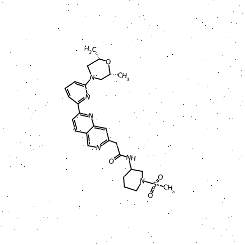 C[C@@H]1CN(c2cccc(-c3ccc4cnc(CC(=O)NC5CCCN(S(C)(=O)=O)C5)cc4n3)n2)C[C@H](C)O1